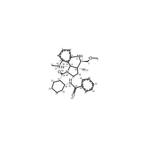 COC[C@@H]1Nc2cccc(N(C)C)c2[C@H]2[C@@H]1CCN2C(=O)[C@H]1CCCC[C@H]1NC(=O)c1ccccc1